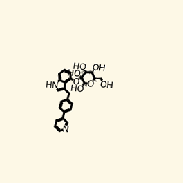 OC[C@H]1O[C@@H](O)[C@@](O)(Oc2cccc3[nH]cc(Cc4ccc(-c5cccnc5)cc4)c23)[C@@H](O)[C@@H]1O